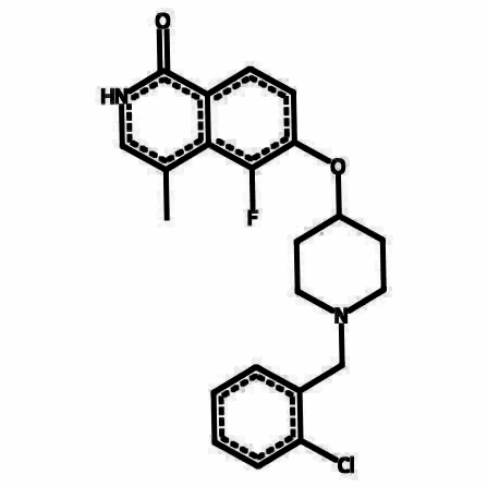 Cc1c[nH]c(=O)c2ccc(OC3CCN(Cc4ccccc4Cl)CC3)c(F)c12